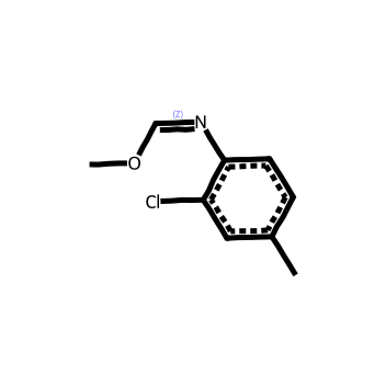 CO/C=N\c1ccc(C)cc1Cl